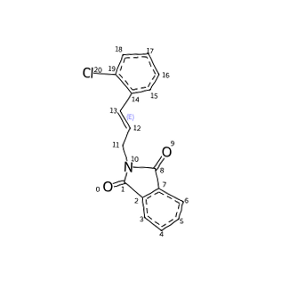 O=C1c2ccccc2C(=O)N1C/C=C/c1ccccc1Cl